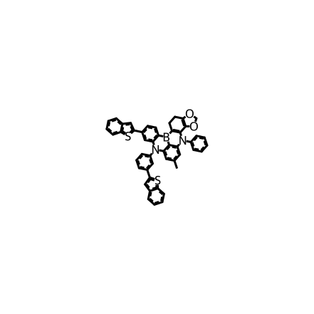 Cc1cc2c3c(c1)N(c1cccc(-c4cc5ccccc5s4)c1)c1cc(-c4cc5ccccc5s4)ccc1B3C1=C(C3=C(CC1)OCO3)N2c1ccccc1